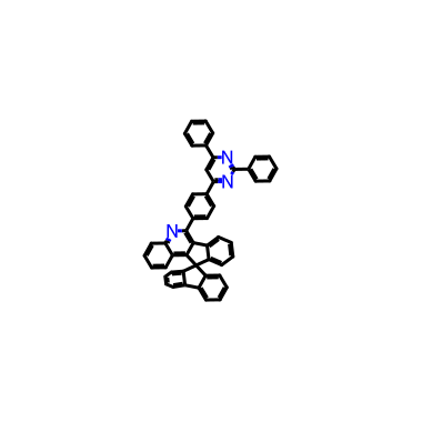 c1ccc(-c2cc(-c3ccc(-c4nc5ccccc5c5c4-c4ccccc4C54c5ccccc5-c5ccccc54)cc3)nc(-c3ccccc3)n2)cc1